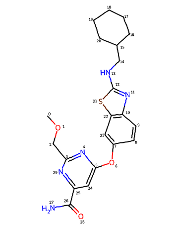 COCc1nc(Oc2ccc3nc(NCC4CCCCC4)sc3c2)cc(C(N)=O)n1